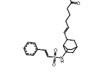 O=C(O)CCCC=CC1CC2CCC1C(NS(=O)(=O)C=Cc1ccccc1)C2